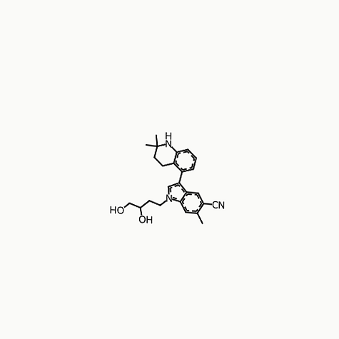 Cc1cc2c(cc1C#N)c(-c1cccc3c1CCC(C)(C)N3)cn2CCC(O)CO